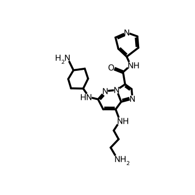 NCCCNc1cc(NC2CCC(N)CC2)nn2c(C(=O)Nc3ccncc3)cnc12